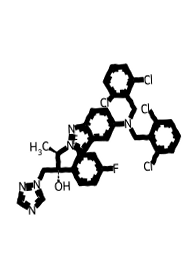 C[C@@H](n1cc2cc(N(Cc3c(Cl)cccc3Cl)Cc3c(Cl)cccc3Cl)ccc2n1)[C@](O)(Cn1cncn1)c1ccc(F)cc1F